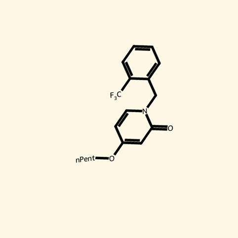 CCCCCOc1ccn(Cc2ccccc2C(F)(F)F)c(=O)c1